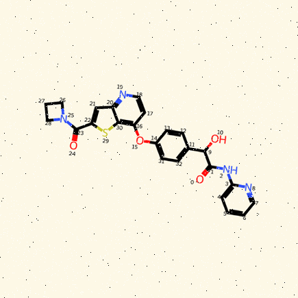 O=C(Nc1ccccn1)C(O)c1ccc(Oc2ccnc3cc(C(=O)N4CCC4)sc23)cc1